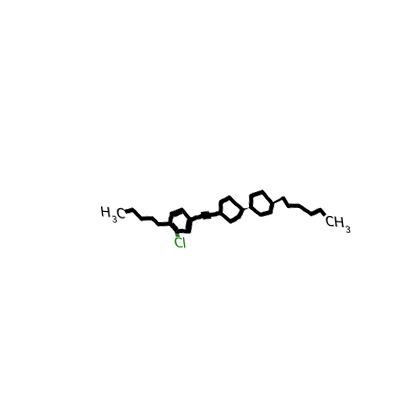 CCCCCC[C@H]1CC[C@H](C2CCC(C#Cc3ccc(CCCCC)c(Cl)c3)CC2)CC1